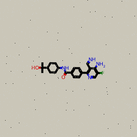 CC(C)(O)C1CCC(NC(=O)c2ccc(-c3ncc(F)c(N)c3C=N)cc2)CC1